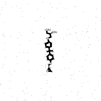 CC(=O)OC[C@H](COc1ccc(C(C)(C)c2ccc(OC[C@H]3CO3)cc2)cc1)OC(C)=O